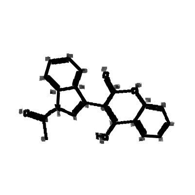 CC(=O)n1cc(-c2c(O)c3ccccc3oc2=O)c2ccccc21